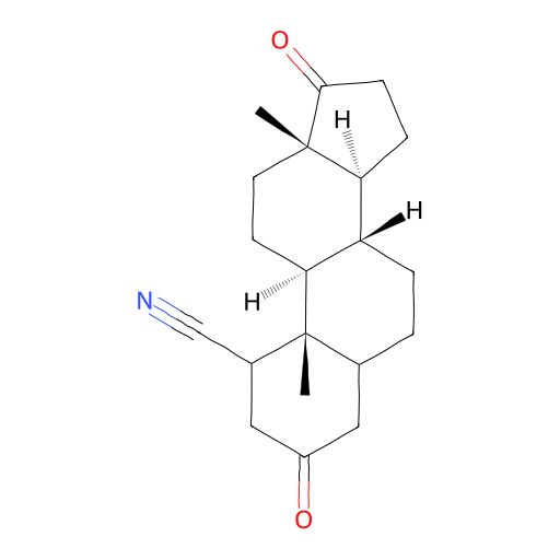 C[C@]12C(C#N)CC(=O)CC1CC[C@@H]1[C@@H]2CC[C@]2(C)C(=O)CC[C@@H]12